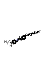 CNc1ccc(/C=C/c2cc3ccc(OCCOCCOCCF)cc3o2)cc1